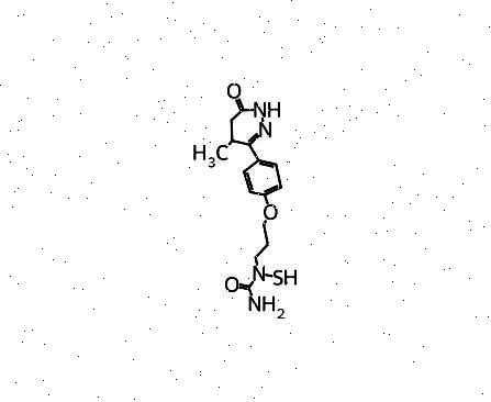 CC1CC(=O)NN=C1c1ccc(OCCCN(S)C(N)=O)cc1